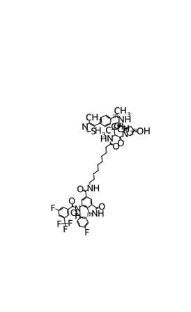 Cc1ncsc1-c1ccc([C@H](C)NC(=O)[C@@H]2C[C@@H](O)CN2C(=O)C(NC(=O)CCCCCCCCCNC(=O)c2cc(NC(=O)c3cc(F)cc(C(F)(F)F)c3)c3c(c2)C(=O)N[C@@H]3c2cc(F)ccc2Cl)C(C)(C)C)cc1